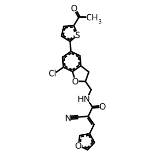 CC(=O)c1ccc(-c2cc(Cl)c3c(c2)CC(CNC(=O)C(C#N)=Cc2ccoc2)O3)s1